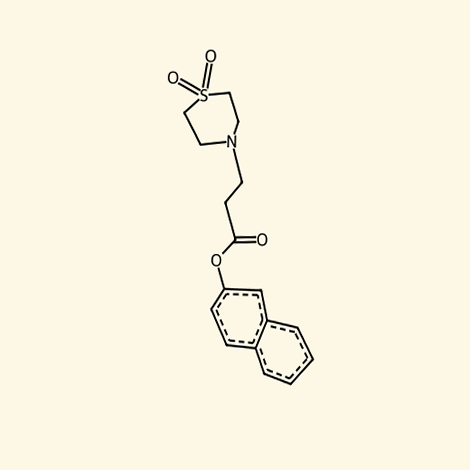 O=C(CCN1CCS(=O)(=O)CC1)Oc1ccc2ccccc2c1